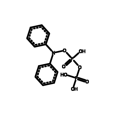 O=P(O)(O)OP(=O)(O)ON(c1ccccc1)c1ccccc1